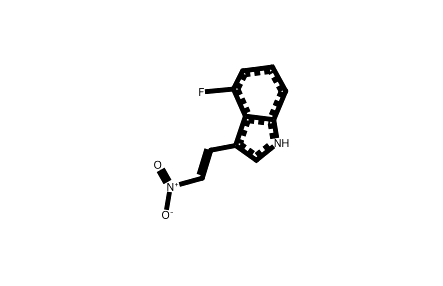 O=[N+]([O-])/C=C/c1c[nH]c2cccc(F)c12